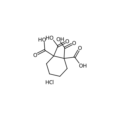 Cl.O=C(O)C1(C(=O)O)CCCCC1(C(=O)O)C(=O)O